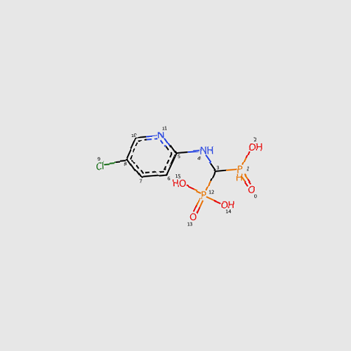 O=[PH](O)C(Nc1ccc(Cl)cn1)P(=O)(O)O